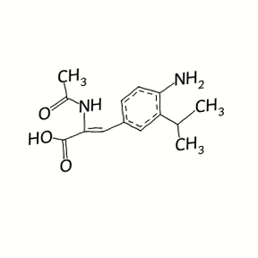 CC(=O)NC(=Cc1ccc(N)c(C(C)C)c1)C(=O)O